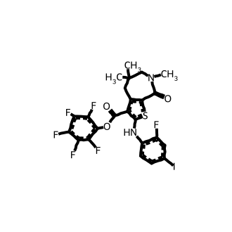 CN1CC(C)(C)Cc2c(sc(Nc3ccc(I)cc3F)c2C(=O)Oc2c(F)c(F)c(F)c(F)c2F)C1=O